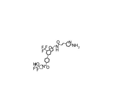 Nc1ccc(C=CC(=O)NCc2cc3cc(-c4ccc(C(=O)N5CCC(O)(C(F)(F)F)C5)cc4)cc(C(F)(F)F)c3o2)cn1